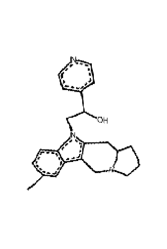 Cc1ccc2c(c1)c1c(n2CC(O)c2ccncc2)CC2CCCN2C1